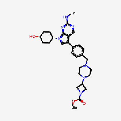 CCCNc1ncc2c(-c3ccc(CN4CCN(C5CN(C(=O)OC(C)(C)C)C5)CC4)cc3)cn([C@H]3CC[C@H](O)CC3)c2n1